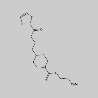 COCCOC(=O)N1CCC(CCCC(=O)c2ncco2)CC1